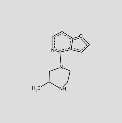 CC1CN(c2nccc3occc23)CCN1